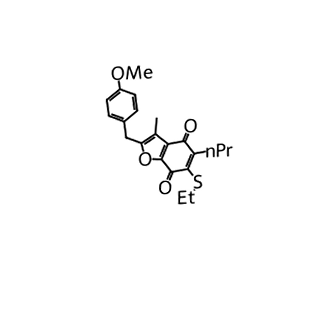 CCCC1=C(SCC)C(=O)c2oc(Cc3ccc(OC)cc3)c(C)c2C1=O